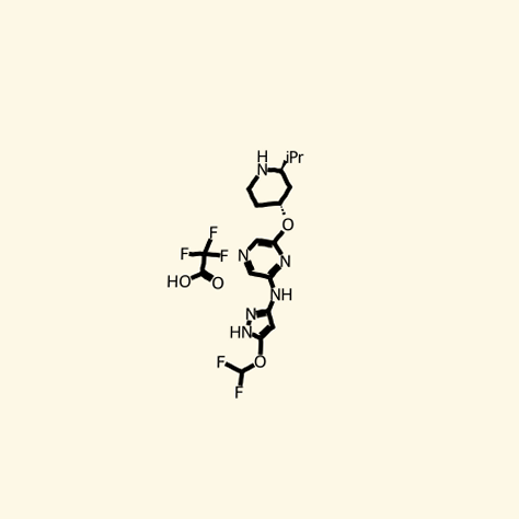 CC(C)[C@H]1C[C@H](Oc2cncc(Nc3cc(OC(F)F)[nH]n3)n2)CCN1.O=C(O)C(F)(F)F